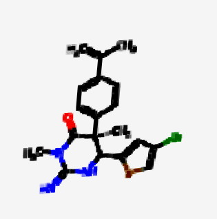 C=C(C)c1ccc([C@]2(C)C(=O)N(C)C(=N)N[C@@H]2c2cc(Br)cs2)cc1